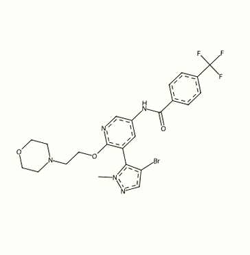 Cn1ncc(Br)c1-c1cc(NC(=O)c2ccc(C(F)(F)F)cc2)cnc1OCCN1CCOCC1